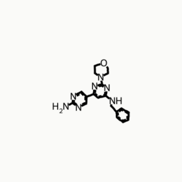 Nc1ncc(-c2cc(NCc3ccccc3)nc(N3CCOCC3)n2)cn1